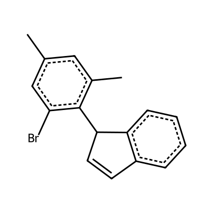 Cc1cc(C)c(C2C=Cc3ccccc32)c(Br)c1